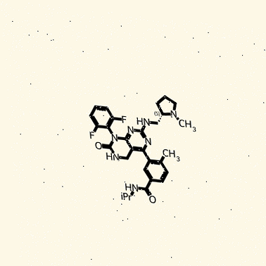 Cc1ccc(C(=O)NC(C)C)cc1-c1nc(NC[C@@H]2CCCN2C)nc2c1CNC(=O)N2c1c(F)cccc1F